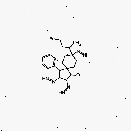 CC(C)CCC(C)C1(N=N)CCC2(CC1)C(=O)C(N=N)C(N=N)C2c1ccccc1